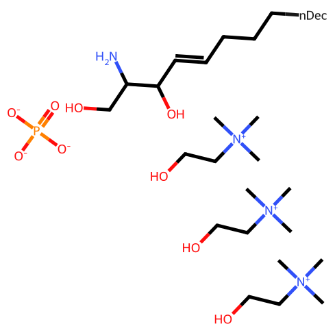 CCCCCCCCCCCCC/C=C/C(O)C(N)CO.C[N+](C)(C)CCO.C[N+](C)(C)CCO.C[N+](C)(C)CCO.O=P([O-])([O-])[O-]